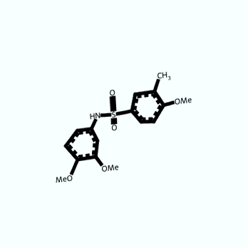 COc1ccc(S(=O)(=O)Nc2ccc(OC)c(OC)c2)cc1C